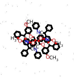 COc1ccc(OCC(Oc2ccc(OC)cc2C(=C=Nc2ccccc2)c2ccccc2)C(Oc2ccc(OC)cc2C(=C=Nc2ccccc2)c2ccccc2)C(C)Oc2ccc(OC)cc2C(=C=Nc2ccccc2)c2ccccc2)c(C(=C=Nc2ccccc2)c2ccccc2)c1